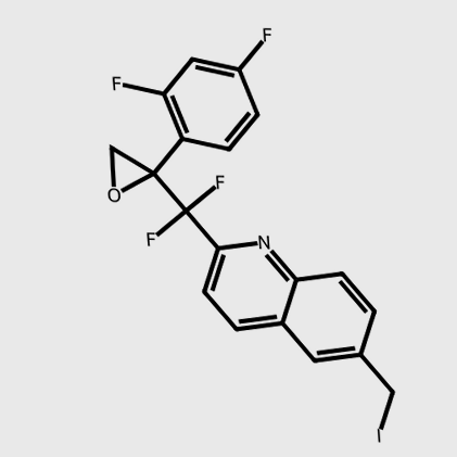 Fc1ccc(C2(C(F)(F)c3ccc4cc(CI)ccc4n3)CO2)c(F)c1